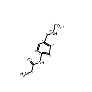 NCC(=O)Nc1ccc(CNC(=O)O)cc1